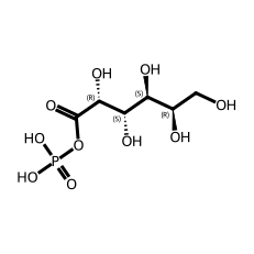 O=C(OP(=O)(O)O)[C@H](O)[C@@H](O)[C@@H](O)[C@H](O)CO